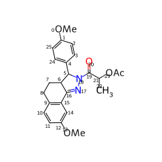 COc1ccc(C2C3CCc4ccc(OC)cc4C3=NN2C(=O)C(C)OC(C)=O)cc1